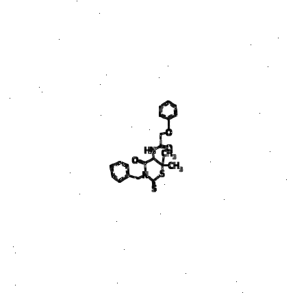 CC1(C)SC(=S)N(Cc2ccccc2)C(=O)C1NC(=O)COc1ccccc1